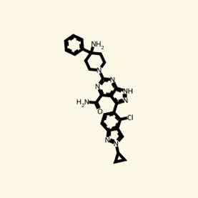 NC(=O)c1nc(N2CCC(N)(c3ccccc3)CC2)nc2[nH]nc(-c3ccc4nn(C5CC5)cc4c3Cl)c12